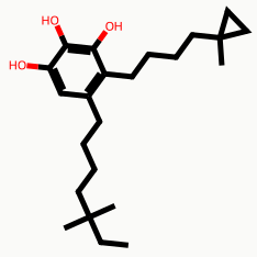 CCC(C)(C)CCCCc1cc(O)c(O)c(O)c1CCCCC1(C)CC1